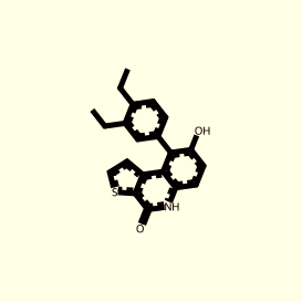 CCc1ccc(-c2c(O)ccc3[nH]c(=O)c4sccc4c23)cc1CC